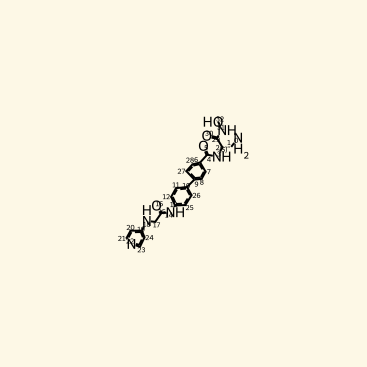 NC[C@H](NC(=O)c1ccc(-c2ccc(NC(=O)CNc3ccncc3)cc2)cc1)C(=O)NO